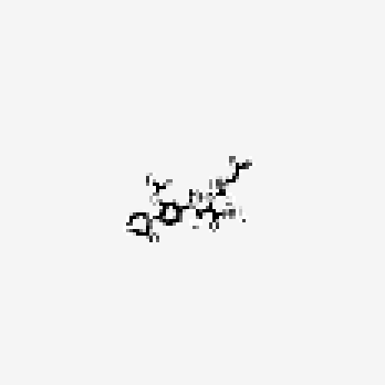 NC(=O)[C@H](NC(=O)NCC(F)F)C(=O)Nc1ccc(N2CCOCC2=O)c(OC(F)F)c1